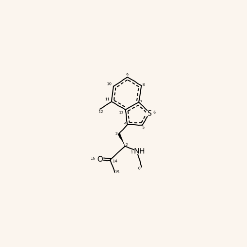 CN[C@H](Cc1csc2cccc(C)c12)C(C)=O